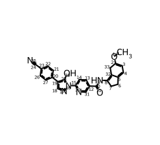 COC1=CC=C2CCC(NC(=O)c3ccc(-n4ncc(-c5ccc(C#N)cc5)c4O)nc3)=C2C1